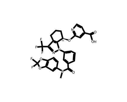 CN(C(=O)c1cccc(-n2nc(C(F)(F)F)c3c2[C@H](Oc2cc(C(=O)O)ccn2)CCC3)c1)c1ccc2c(c1)OC(F)(F)O2